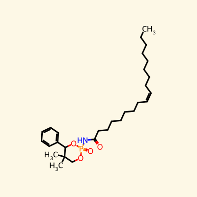 CCCCCCCC/C=C\CCCCCCCC(=O)NP1(=O)OCC(C)(C)C(c2ccccc2)O1